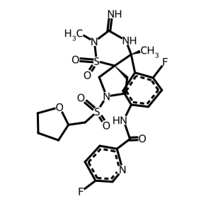 CN1C(=N)N[C@](C)(c2cc(NC(=O)c3ccc(F)cn3)ccc2F)[C@@]2(CCN(S(=O)(=O)CC3CCCO3)C2)S1(=O)=O